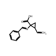 C=CC1CC1(/N=C/c1ccccc1)C(=O)O